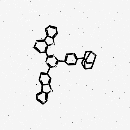 c1ccc2c(c1)oc1cc(-c3nc(-c4ccc(C56CC7CC(CC(C7)C5)C6)cc4)nc(-c4cccc5c4oc4ccccc45)n3)ccc12